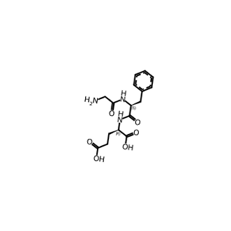 NCC(=O)N[C@@H](Cc1ccccc1)C(=O)N[C@H](CCC(=O)O)C(=O)O